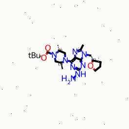 Cc1nc2c(N3C[C@@H](C)N(C(=O)OC(C)(C)C)C[C@@H]3C)nc(NN)nc2n1C[C@@H]1CCCO1